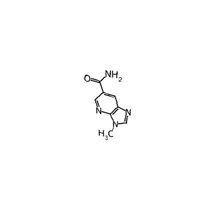 Cn1cnc2cc(C(N)=O)cnc21